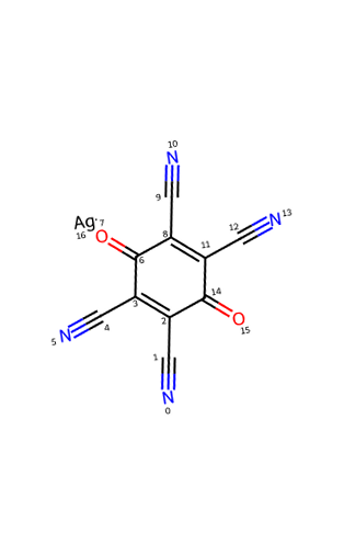 N#CC1=C(C#N)C(=O)C(C#N)=C(C#N)C1=O.[Ag]